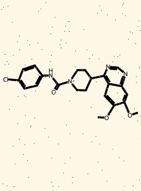 COc1cc2ncnc(C3CCN(C(=O)Nc4ccc(Cl)cc4)CC3)c2cc1OC